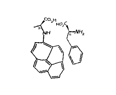 C[C@H](Nc1ccc2ccc3cccc4ccc1c2c34)C(=O)O.N[C@@H](Cc1ccccc1)C(=O)O